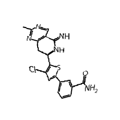 Cc1ncc2c(n1)CC(c1sc(-c3cccc(C(N)=O)c3)cc1Cl)NC2=N